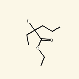 CCCC(F)(CC)C(=O)OCC